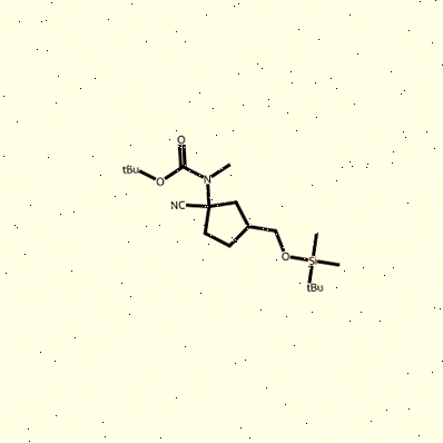 CN(C(=O)OC(C)(C)C)C1(C#N)CCC(CO[Si](C)(C)C(C)(C)C)C1